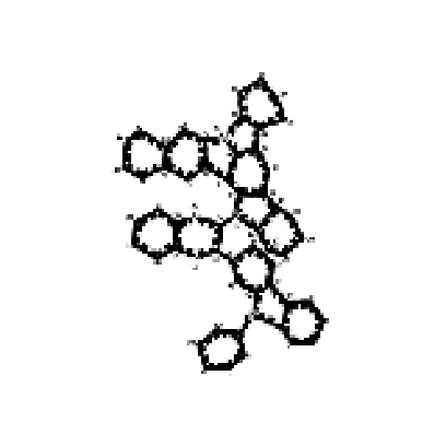 c1ccc(-n2c3ccccc3c3ccc(-c4nc5ccccc5nc4-n4c5ccccc5c5cc6c7ccccc7n7c8cc9ccccc9cc8c(c54)c67)cc32)cc1